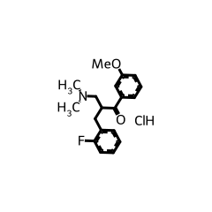 COc1cccc(C(=O)C(Cc2ccccc2F)CN(C)C)c1.Cl